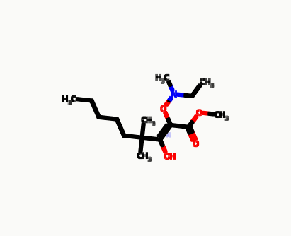 CCCCCC(C)(C)/C(O)=C(\ON(C)CC)C(=O)OC